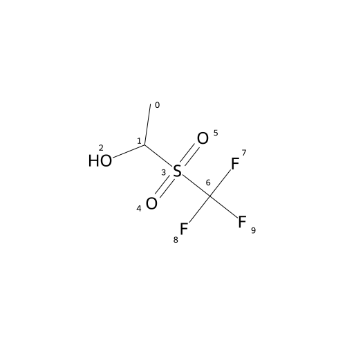 CC(O)S(=O)(=O)C(F)(F)F